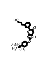 CC(=O)NC(C)(C)c1ccc(Oc2nc3nc(-c4cccc(CCCO)c4)c(Cl)cc3[nH]2)cc1